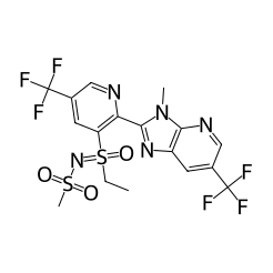 CCS(=O)(=NS(C)(=O)=O)c1cc(C(F)(F)F)cnc1-c1nc2cc(C(F)(F)F)cnc2n1C